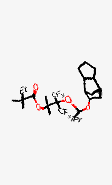 CCC(C)(C)C(=O)OC(C)(C)C(OC(OC1CC2CC1C1CCCC21)C(C)C)(C(F)(F)F)C(F)(F)F